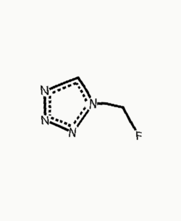 FCn1cnnn1